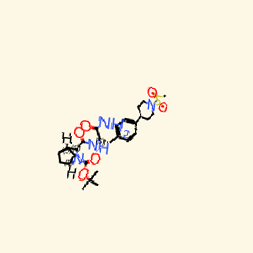 CC(C)(C)OC(=O)N1[C@@H]2CC[C@@H](C2)[C@H]1C(=O)N[C@@H](Cc1ccc(C2CCN(S(C)(=O)=O)CC2)cc1)C(N)=O